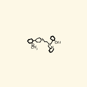 COc1ccccc1C1CCN(CCCN(Cc2ccccn2)Cc2ccccc2O)CC1